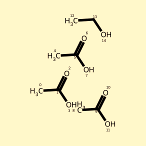 CC(=O)O.CC(=O)O.CC(=O)O.CCO